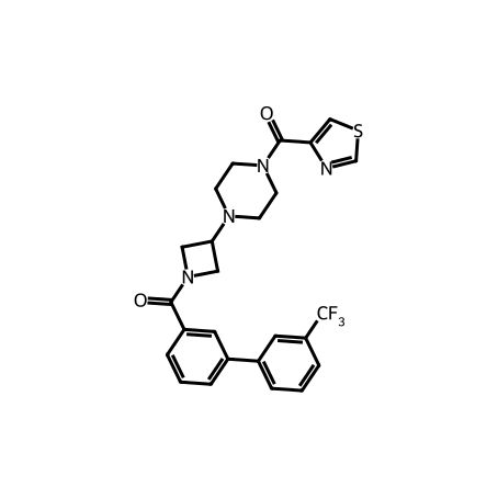 O=C(c1cccc(-c2cccc(C(F)(F)F)c2)c1)N1CC(N2CCN(C(=O)c3cscn3)CC2)C1